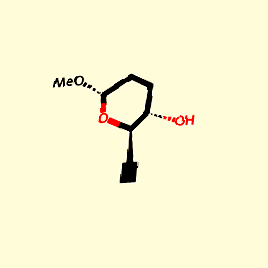 C#C[C@H]1O[C@H](OC)CC[C@@H]1O